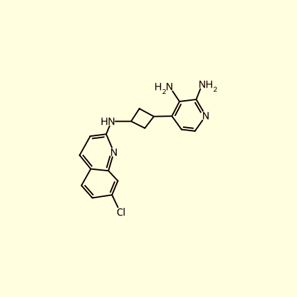 Nc1nccc(C2CC(Nc3ccc4ccc(Cl)cc4n3)C2)c1N